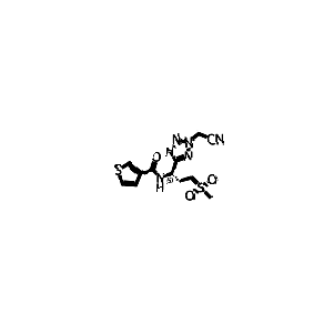 CS(=O)(=O)CC[C@H](NC(=O)c1ccsc1)c1nnn(CC#N)n1